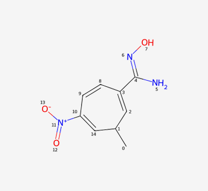 CC1C=C(/C(N)=N/O)C=CC([N+](=O)[O-])=C1